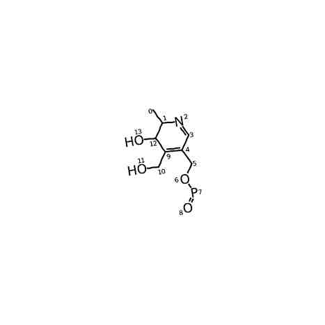 CC1N=CC(COP=O)=C(CO)C1O